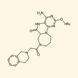 CCCCOc1nc(N)c2c(n1)N1CCCN(C(=O)CN3CCc4ccccc4C3)CC1C(=O)N2